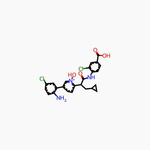 Nc1ccc(Cl)cc1-c1ccc(C(CC2CC2)C(=O)Nc2ccc(C(=O)O)cc2Cl)[n+](O)c1